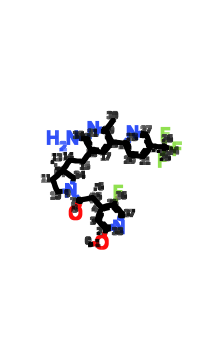 COc1cc([C@@H](C)C(=O)N2CC[C@@](C)(CCc3cc(-c4ccc(C(F)(F)F)cn4)c(C)nc3N)C2)c(F)cn1